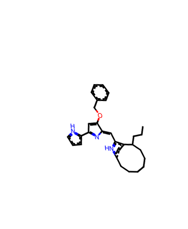 CCCC1CCCCCCc2cc1c(/C=C1\N=C(c3ccc[nH]3)C=C1OCc1ccccc1)[nH]2